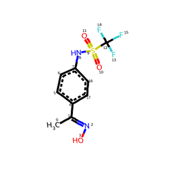 CC(=NO)c1ccc(NS(=O)(=O)C(F)(F)F)cc1